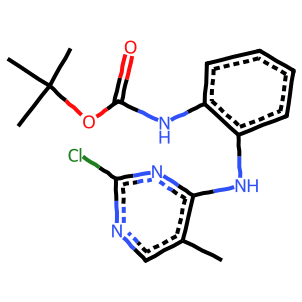 Cc1cnc(Cl)nc1Nc1ccccc1NC(=O)OC(C)(C)C